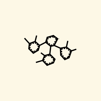 Cc1cccc(-c2[c]ccc(-c3cccc(C)c3C)c2-c2cccc(C)c2C)c1C